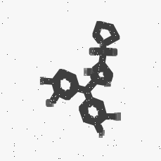 O=S(=O)(c1cnc(C(c2ccc(F)c(Cl)c2)c2ccc(F)c(Cl)c2)[nH]1)N1CCCC1